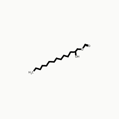 CCCCCCCCCCCCC(O)COC=O